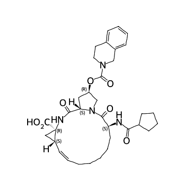 O=C(N[C@H]1CCCCCC=C[C@@H]2C[C@@]2(C(=O)O)NC(=O)[C@@H]2C[C@@H](OC(=O)N3CCc4ccccc4C3)CN2C1=O)C1CCCC1